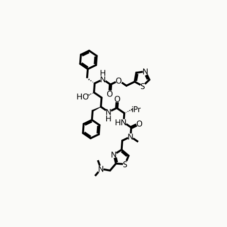 CC(C)[C@H](NC(=O)N(C)Cc1csc(CN(C)C)n1)C(=O)N[C@@H](Cc1ccccc1)C[C@H](O)[C@H](Cc1ccccc1)NC(=O)OCc1cncs1